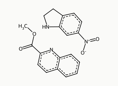 COC(=O)c1ccc2ccccc2n1.O=[N+]([O-])c1ccc2c(c1)NCC2